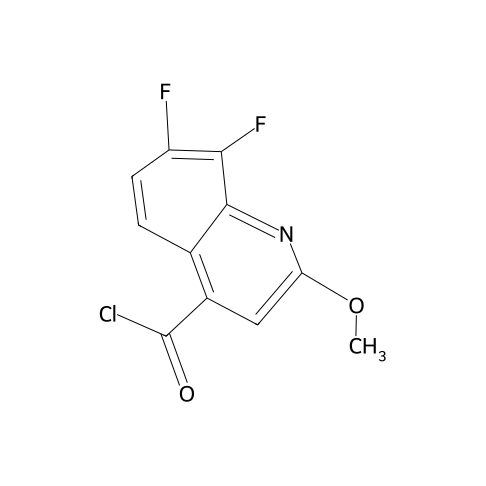 COc1cc(C(=O)Cl)c2ccc(F)c(F)c2n1